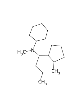 CCCC(C1CCCC1C)N(C)C1CCCCC1